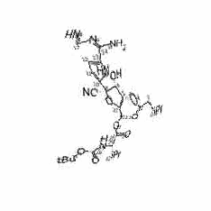 CC(C)CC(=O)O[C@H]1[C@@H](O)[C@](C#N)(c2ccc(/C(N)=N\C=N)[nH]2)O[C@@H]1COC(=O)[C@@H](NC(=O)OC(C)(C)C)C(C)C